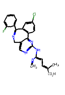 C=N/C(=C\C=C(/C)C(=O)O)Nc1ncc2c(n1)-c1ccc(Cl)cc1C(c1ccccc1F)=NC2